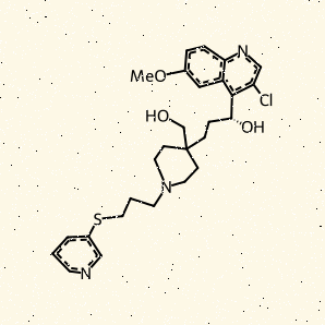 COc1ccc2ncc(Cl)c([C@H](O)CCC3(CO)CCN(CCCSc4cccnc4)CC3)c2c1